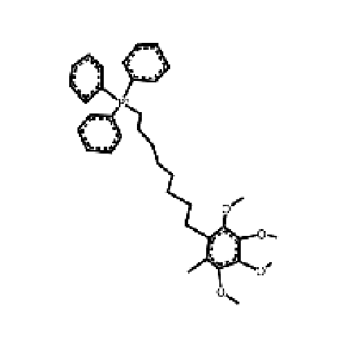 COc1c(C)c(CCCCCCCC[P+](c2ccccc2)(c2ccccc2)c2ccccc2)c(OC)c(OC)c1OC